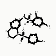 O=S(=O)(Nc1ccc2c(c1)N(S(=O)(=O)c1ccc(F)cc1)CCC2)c1ccc(Cl)cc1F